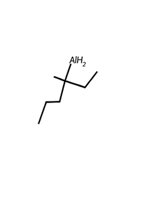 CCC[C](C)([AlH2])CC